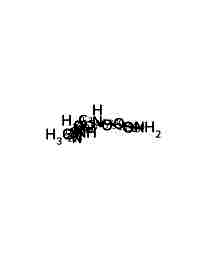 Cc1cc(NCCOCCOCCOCCN)ccc1C(=O)NC1=NCC(C)S1